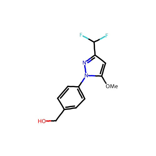 COc1cc(C(F)F)nn1-c1ccc(CO)cc1